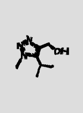 CC(C)c1c(CO)nnn1C